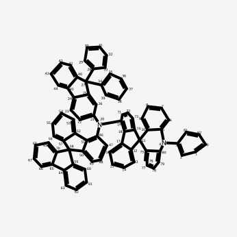 c1ccc(N2c3ccccc3C3(c4ccccc4-c4c(N(c5ccc6c(c5)C(c5ccccc5)(c5ccccc5)c5ccccc5-6)c5cccc6c5-c5ccccc5C65c6ccccc6-c6ccccc65)cccc43)c3ccccc32)cc1